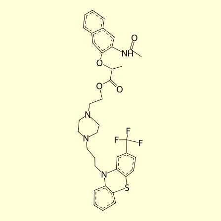 CC(=O)Nc1cc2ccccc2cc1OC(C)C(=O)OCCN1CCN(CCCN2c3ccccc3Sc3ccc(C(F)(F)F)cc32)CC1